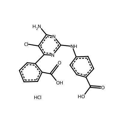 Cl.Nc1nc(Nc2ccc(C(=O)O)cc2)nc(-c2ccccc2C(=O)O)c1Cl